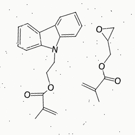 C=C(C)C(=O)OCC1CO1.C=C(C)C(=O)OCCn1c2ccccc2c2ccccc21